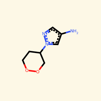 Nc1cnn(C2CCOOC2)c1